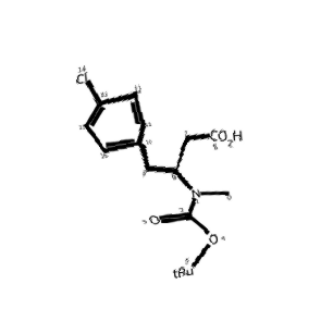 CN(C(=O)OC(C)(C)C)[C@H](CC(=O)O)Cc1ccc(Cl)cc1